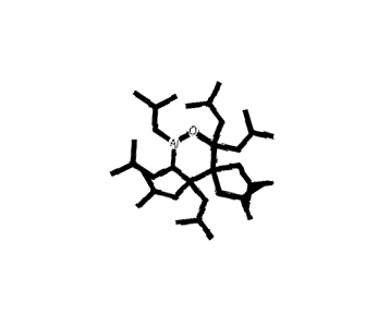 CC(C)C[CH]1[Al]([CH2]C(C)C)[O]C(CC(C)C)(CC(C)C)C(CC(C)C)(CC(C)C)C1(CC(C)C)CC(C)C